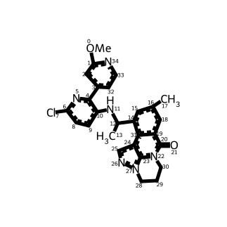 COc1cc(-c2nc(Cl)ccc2NC(C)c2cc(C)cc3c(=O)n4c5c(cnn5CCC4)c23)ccn1